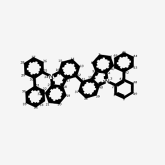 C1=CC(n2c3ccccc3c3c(-c4cccc5c4c4ccccc4n5-c4ccccc4-c4ccccc4)cccc32)=C(c2ccccc2)CC1